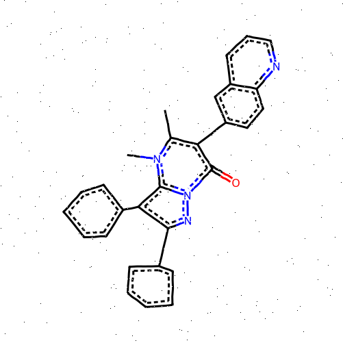 Cc1c(-c2ccc3ncccc3c2)c(=O)n2nc(-c3ccccc3)c(-c3ccccc3)c2n1C